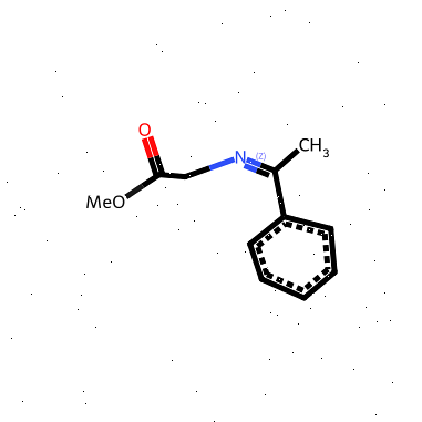 COC(=O)C/N=C(/C)c1ccccc1